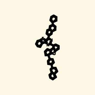 c1ccc(-c2ccc3cc(-c4nc(-c5cccc6oc7c(-c8ccc(-c9ccc%10ccccc%10c9)cc8)cccc7c56)nc5c4sc4ccccc45)ccc3c2)cc1